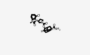 Cn1c(=O)n([C@H]2CCN(C(=O)OC3C4CC5C[C@H]3C[C@@](C(N)=O)(C5)C4)C2)c2c(Cl)cccc21